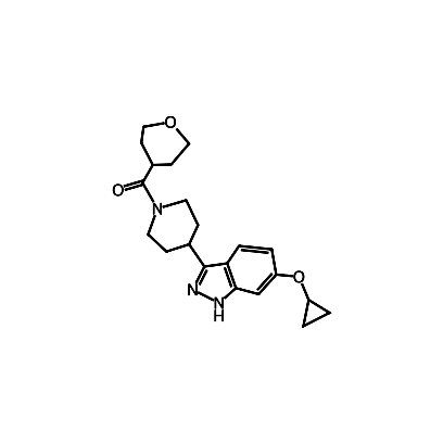 O=C(C1CCOCC1)N1CCC(c2n[nH]c3cc(OC4CC4)ccc23)CC1